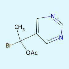 CC(=O)OC(C)(Br)c1cncnc1